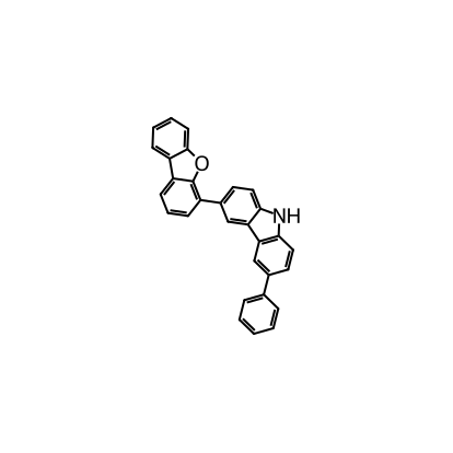 c1ccc(-c2ccc3[nH]c4ccc(-c5cccc6c5oc5ccccc56)cc4c3c2)cc1